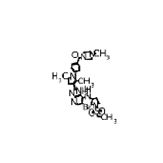 CCS(=O)(=O)N1CCC(Nc2c(Br)cnc3nc(-c4cc(C)n(-c5ccc(C(=O)N6CCN(C)CC6)cc5)c4C)[nH]c23)C1